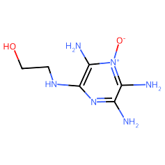 Nc1nc(NCCO)c(N)[n+]([O-])c1N